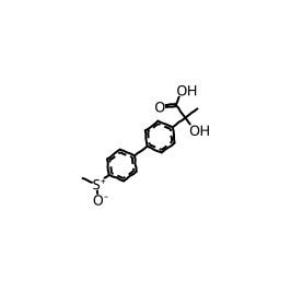 C[S+]([O-])c1ccc(-c2ccc(C(C)(O)C(=O)O)cc2)cc1